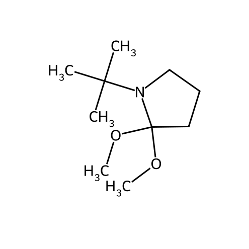 COC1(OC)CCCN1C(C)(C)C